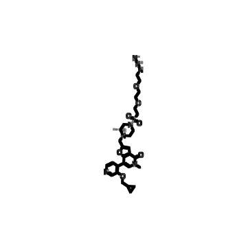 C[C@@H]1CN(S(=O)(=O)CCOCCOCCN=[N+]=[N-])CCN1Cc1cc2c(=O)n(C)cc(-c3ccncc3OCC3CC3)c2o1